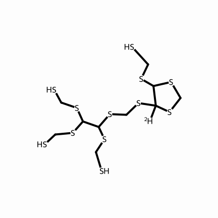 [2H]C1(SCSC(SCS)C(SCS)SCS)SCSC1SCS